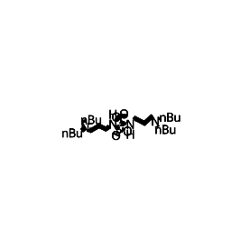 CCCCN(CCCC)CCCNS(=O)(=O)S(=O)(=O)NCCCN(CCCC)CCCC